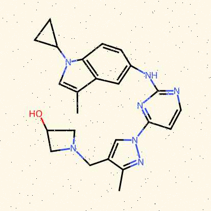 Cc1nn(-c2ccnc(Nc3ccc4c(c3)c(C)cn4C3CC3)n2)cc1CN1CC(O)C1